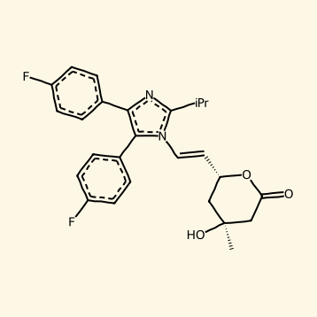 CC(C)c1nc(-c2ccc(F)cc2)c(-c2ccc(F)cc2)n1/C=C/[C@H]1C[C@](C)(O)CC(=O)O1